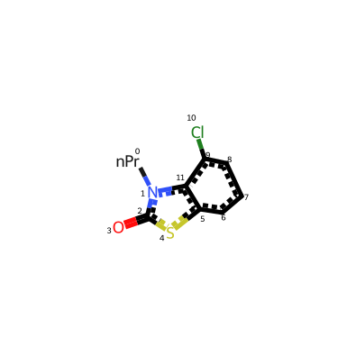 CCCn1c(=O)sc2cccc(Cl)c21